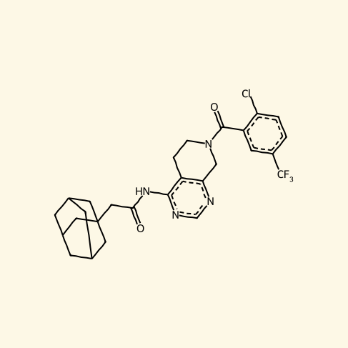 O=C(CC12CC3CC(CC(C3)C1)C2)Nc1ncnc2c1CCN(C(=O)c1cc(C(F)(F)F)ccc1Cl)C2